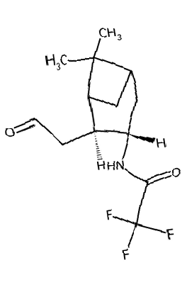 CC1(C)C2CC1[C@H](CC=O)[C@@H](NC(=O)C(F)(F)F)C2